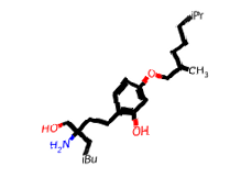 CCC(C)CC(N)(CO)CCc1ccc(OCC(C)CCCC(C)C)cc1O